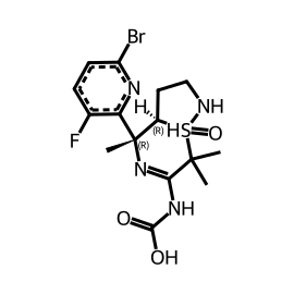 CC1(C)C(NC(=O)O)=N[C@](C)(c2nc(Br)ccc2F)[C@H]2CCN[SH]21=O